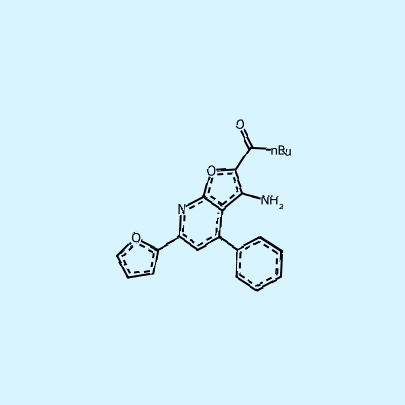 CCCCC(=O)c1oc2nc(-c3ccco3)cc(-c3ccccc3)c2c1N